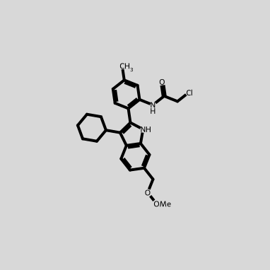 COOCc1ccc2c(C3CCCCC3)c(-c3ccc(C)cc3NC(=O)CCl)[nH]c2c1